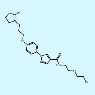 CC1CCCN1CCCOc1ccc(-n2cc(C(=O)NCCOCCO)cn2)cc1